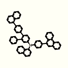 c1ccc(-c2cc(N(c3ccc(-c4cc5ccccc5c5ccccc45)cc3)c3cccc4ccccc34)ccc2-c2ccc(-c3cccc4ccccc34)cc2)cc1